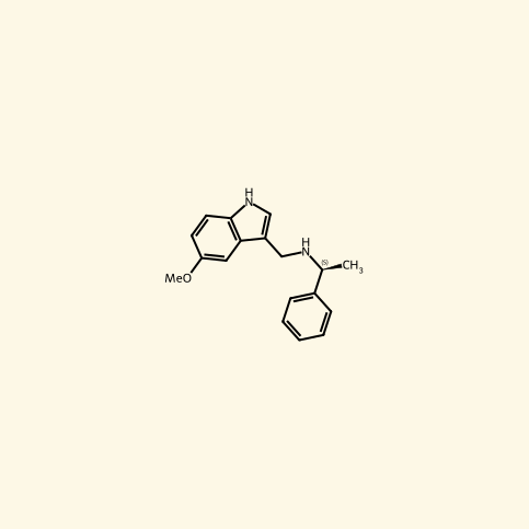 COc1ccc2[nH]cc(CN[C@@H](C)c3ccccc3)c2c1